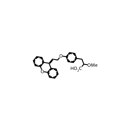 COC(Cc1ccc(OCC=C2c3ccccc3Oc3ccccc32)cc1)C(=O)O